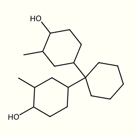 CC1CC(C2(C3CCC(O)C(C)C3)CCCCC2)CCC1O